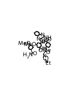 CCN1CCN(CC(=O)Nc2cccc(S(=O)(=O)Nc3nc4ccccc4nc3Nc3cc(OC)cc(OC)c3)c2)CC1.COc1ccc(C(N)=O)cc1